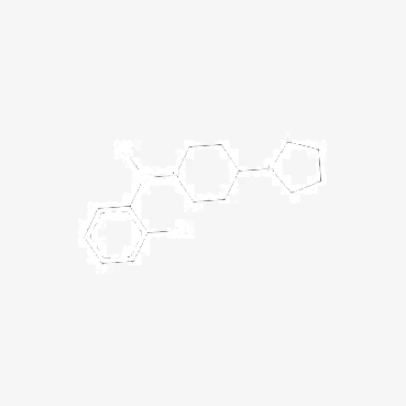 [O-][S+](c1ccccc1Cl)N1CCC(N2CCCC2)CC1